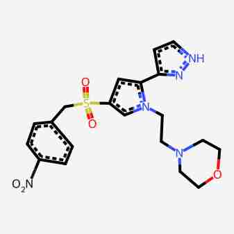 O=[N+]([O-])c1ccc(CS(=O)(=O)c2cc(-c3cc[nH]n3)n(CCN3CCOCC3)c2)cc1